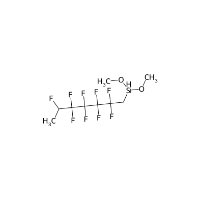 CO[SiH](CC(F)(F)C(F)(F)C(F)(F)C(F)(F)C(C)F)OC